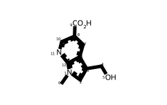 Cn1cc(CO)c2cc(C(=O)O)cnc21